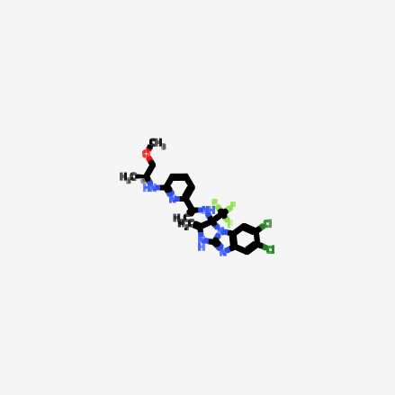 C=C(NC1(C(F)(F)F)C(=C)Nc2nc3cc(Cl)c(Cl)cc3n21)c1cccc(N[C@@H](C)COC)n1